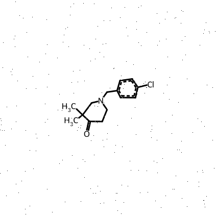 CC1(C)CN(Cc2ccc(Cl)cc2)CCC1=O